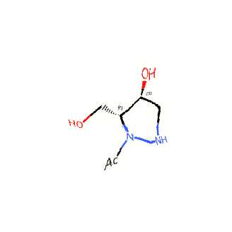 CC(=O)N1NC[C@H](O)[C@H]1CO